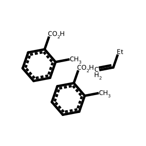 C=CCC.Cc1ccccc1C(=O)O.Cc1ccccc1C(=O)O